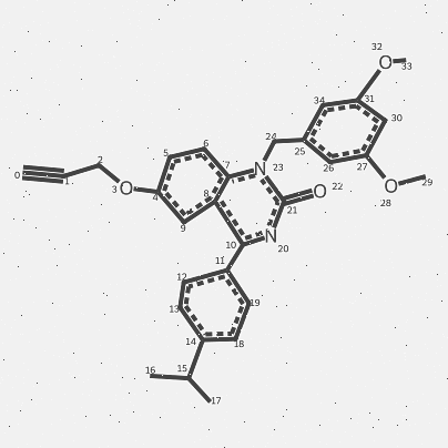 C#CCOc1ccc2c(c1)c(-c1ccc(C(C)C)cc1)nc(=O)n2Cc1cc(OC)cc(OC)c1